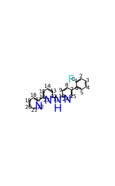 Fc1ccccc1-c1ccc(Nc2cccc(-c3ccccn3)n2)nc1